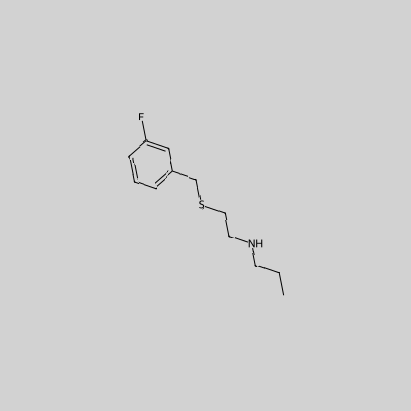 CCCNCCSCc1cccc(F)c1